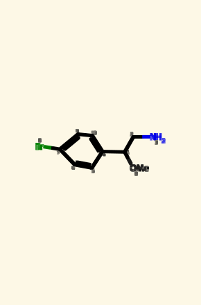 COC(CN)c1ccc(Br)cc1